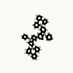 c1ccc(-n2c3ccc(-c4ccc5c(c4)c4cc(N6c7ccccc7-c7ccccc7-c7ccccc76)ccc4n5-c4ccccc4)cc3c3cc(N4c5ccccc5-c5ccccc5-c5ccccc54)ccc32)cc1